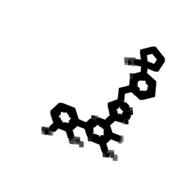 Cc1c(C#N)cccc1-c1nc(N)c(F)c(-c2cn(Cc3cccc(C4(O)CCCC4)n3)nn2)n1